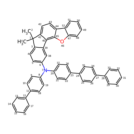 CC1(C)c2ccc(N(c3ccc(-c4ccccc4)cc3)c3ccc(-c4ccc(-c5ccccc5)cc4)cc3)cc2-c2c1ccc1c2oc2ccccc21